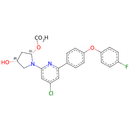 O=C(O)O[C@H]1C[C@@H](O)CN1c1cc(Cl)cc(-c2ccc(Oc3ccc(F)cc3)cc2)n1